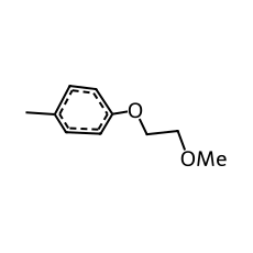 [CH2]OCCOc1ccc(C)cc1